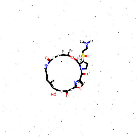 CCN(CC)CCS(=O)(=O)[C@@H]1CCN2C(=O)c3coc(n3)CC(=O)C[C@H](O)/C=C(C)/C=C/CNC(=O)CC[C@@H](C)C(C(C)C)OC(=O)[C@@H]12